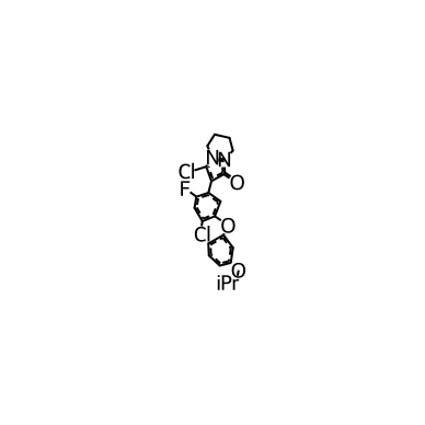 CC(C)Oc1cccc(Oc2cc(-c3c(Cl)n4n(c3=O)CCCC4)c(F)cc2Cl)c1